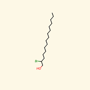 CCCCCCCCCCCCCCC(Br)CO